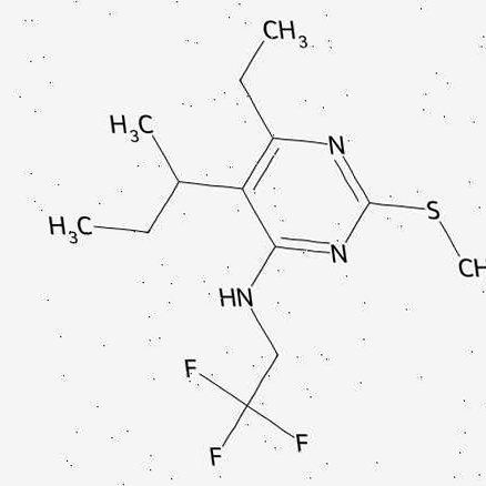 CCc1nc(SC)nc(NCC(F)(F)F)c1C(C)CC